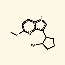 COc1ccc2[nH]cc(C3CCCC3N)c2n1